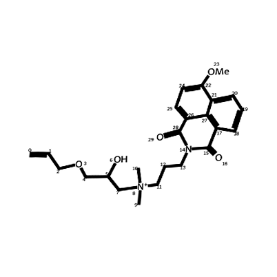 C=CCOCC(O)C[N+](C)(C)CCCN1C(=O)c2cccc3c(OC)ccc(c23)C1=O